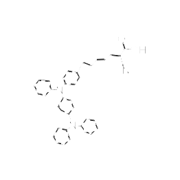 N#C\C(=C/C=C/C=C/c1ccc(N(c2ccccc2)c2ccc(N(c3ccccc3)c3ccccc3)cc2)cc1)C(=O)O